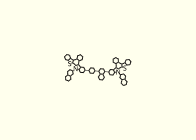 c1ccc2cc(-n3c4ccc(-c5ccc(-c6ccc(-c7ccc8c(c7)c7c9ccccc9c9c%10ccccc%10sc9c7n8-c7ccc8ccccc8c7)c7ccccc67)cc5)cc4c4c5ccccc5c5c6ccccc6sc5c43)ccc2c1